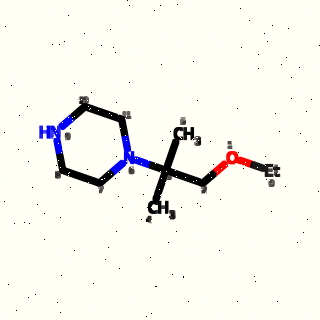 CCOCC(C)(C)N1CCNCC1